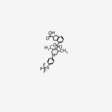 CC1CN(c2ccc(SC(F)(F)F)cc2)CC(C)N1S(=O)(=O)c1cccc2c1CC(C(=O)O)C2